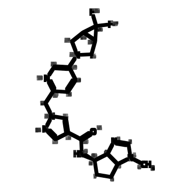 CN1C=NC2C1CC[C@H]2NC(=O)c1cnn(Cc2ccc(N3CC4C(C3)C4(F)F)cn2)c1